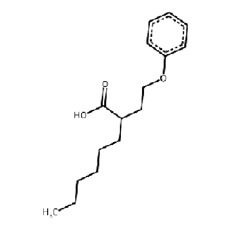 CCCCCCC(CCOc1ccccc1)C(=O)O